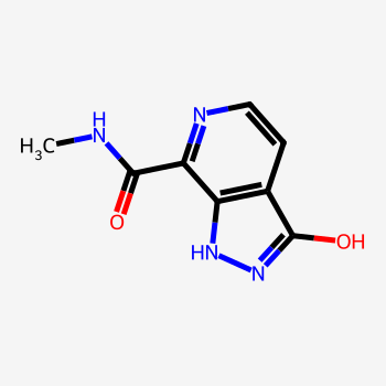 CNC(=O)c1nccc2c(O)n[nH]c12